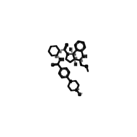 COC[C@@H]1Nc2ccccc2[C@H]2[C@@H]1CCN2C(=O)[C@H]1CCCC[C@H]1NC(=O)c1ccc(N2CC[S+]([O-])CC2)cc1